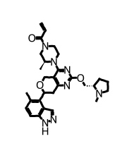 C=CC(=O)N1CCN(c2nc(OC[C@@H]3CCCN3C)nc3c2COC(c2c(C)ccc4[nH]ncc24)C3)[C@@H](C)C1